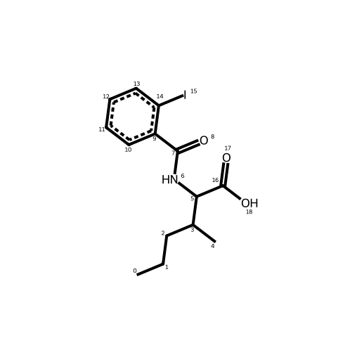 CCCC(C)C(NC(=O)c1ccccc1I)C(=O)O